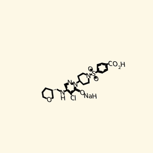 O=C(O)c1ccc(S(=O)(=O)N2CCC(n3ncc(NC[C@H]4CCCOC4)c(Cl)c3=O)CC2)cc1.[NaH]